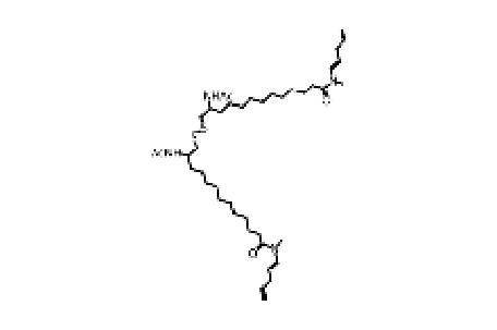 C=CC/C=C/N(C)C(=O)CCCCCCCCCCC(CSSCC(CCCCCCCCCCC(=O)N(C)/C=C/CC=C)NC(C)=O)NC(C)=O